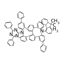 CC1(C)c2cccc(-n3c4ccccc4c4cccc5c6cc(-c7ccccc7)ccc6n(-c6nc(-c7ccccc7)nc(-c7ccccc7)n6)c6ccccc6c6cccc(c7cc(-c8ccccc8)ccc73)c6c54)c2C2C=CC=CC21